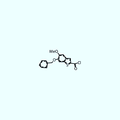 COc1cc2cc(C(=O)Cl)sc2cc1OCc1ccccc1